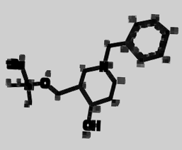 CC(C)(C)[Si](C)(C)OCC1CN(Cc2ccccc2)CCC1O